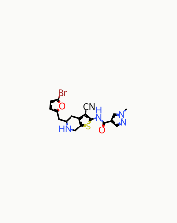 Cn1cc(C(=O)Nc2sc3c(c2C#N)CC(Cc2ccc(Br)o2)NC3)cn1